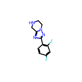 Fc1ccc(-c2nc3n(n2)CCNC3)c(F)c1